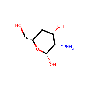 N[C@@H]1[C@H](O)O[C@H](CO)C[C@@H]1O